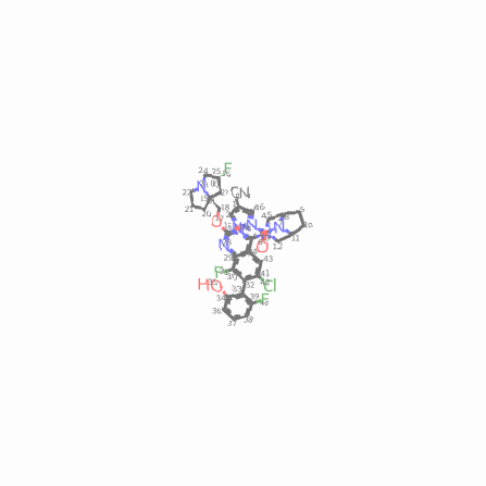 N#Cc1cnn(C(=O)N2C3CCC2CN(c2nc(OC[C@@]45CCCN4C[C@H](F)C5)nc4c(F)c(-c5c(O)cccc5F)c(Cl)cc24)C3)c1